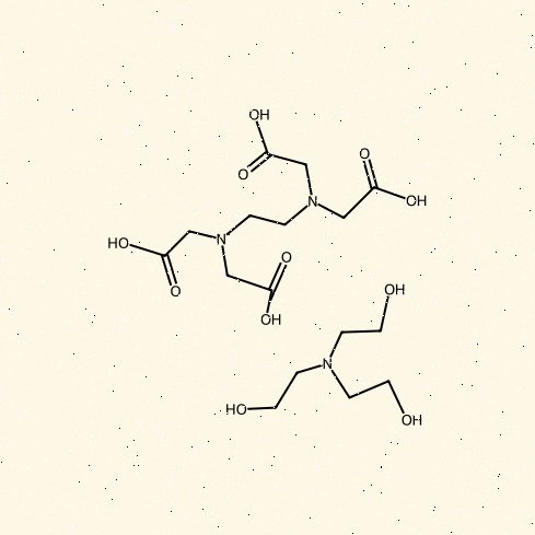 O=C(O)CN(CCN(CC(=O)O)CC(=O)O)CC(=O)O.OCCN(CCO)CCO